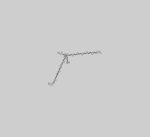 CCCOCCOCCOCCOCCOCCO[Si](CCCS)(OCC)OCCOCCOCCOCCOCCOCCC